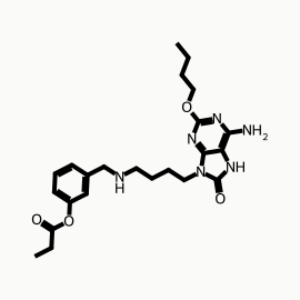 CCCCOc1nc(N)c2[nH]c(=O)n(CCCCNCc3cccc(OC(=O)CC)c3)c2n1